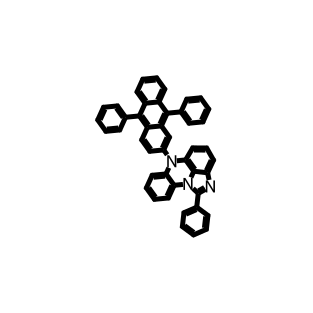 c1ccc(-c2c3ccccc3c(-c3ccccc3)c3cc(N4c5ccccc5-n5c(-c6ccccc6)nc6cccc4c65)ccc23)cc1